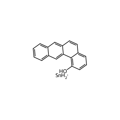 Oc1cccc2ccc3cc4ccccc4cc3c12.[SnH2]